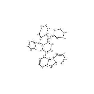 C1=CC2SC3CC=CC(C4CCC5=C(C6CCCCC6)C6CCCCC6C(c6ccccc6)C5C4)C3C2C=C1